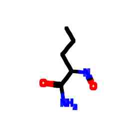 CCCC(N=O)C(N)=O